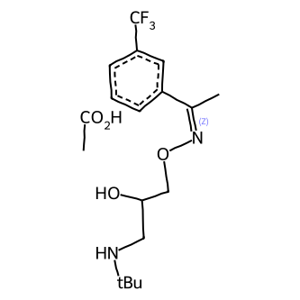 C/C(=N/OCC(O)CNC(C)(C)C)c1cccc(C(F)(F)F)c1.CC(=O)O